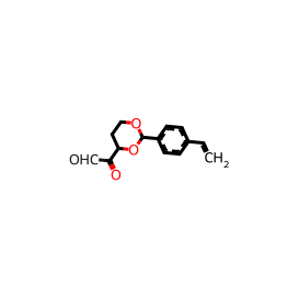 C=Cc1ccc(C2OCCC(C(=O)C=O)O2)cc1